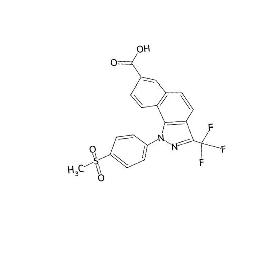 CS(=O)(=O)c1ccc(-n2nc(C(F)(F)F)c3ccc4cc(C(=O)O)ccc4c32)cc1